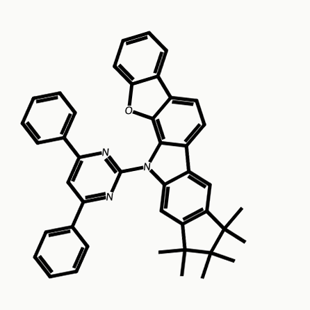 CC1(C)c2cc3c4ccc5c6ccccc6oc5c4n(-c4nc(-c5ccccc5)cc(-c5ccccc5)n4)c3cc2C(C)(C)C1(C)C